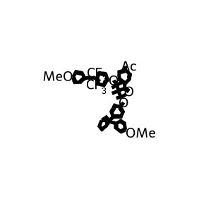 COc1ccc(C2(c3ccc(OC(C)(C)C(C)(C(=O)c4ccc(C(C)=O)cc4)C(C)(C)Oc4ccc(C(c5ccc(OC)cc5)(C(F)(F)F)C(F)(F)F)cc4)cc3)CC3CCC2C3)cc1